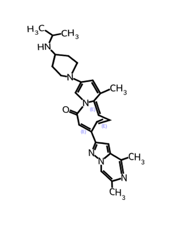 CC1=CC(N2CCC(NC(C)C)CC2)=CN2C(=O)\C=C(c3cc4c(C)nc(C)cn4n3)/C=C/C=C\12